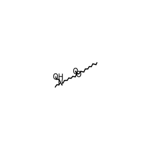 CCCCCCCCCOC(=O)CCCCCCCN(CCC)CCO